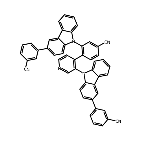 N#Cc1cccc(-c2ccc3c(c2)c2ccccc2n3-c2cnccc2-c2ccc(C#N)cc2-n2c3ccccc3c3cc(-c4cccc(C#N)c4)ccc32)c1